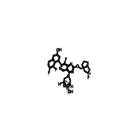 Oc1cc(-c2ncc3c(N4C[C@@H]5C[C@H](C4)[C@H](O)C5)nc(OC[C@@]45CCCN4C[C@H](F)C5)nc3c2F)c2c(F)c(F)ccc2c1